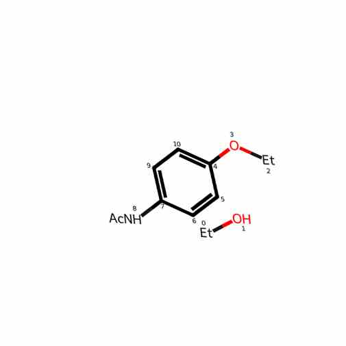 CCO.CCOc1ccc(NC(C)=O)cc1